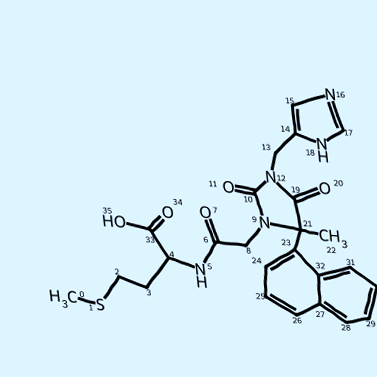 CSCCC(NC(=O)CN1C(=O)N(Cc2cnc[nH]2)C(=O)C1(C)c1cccc2ccccc12)C(=O)O